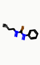 CC(C)CCNC(=S)Nc1ccccc1